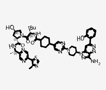 Cc1ncsc1-c1cnc([C@H](C)NC(=O)[C@@H]2C[C@@H](O)CN2C(=O)[C@@H](NC(=O)C2CCC(c3cnc(N4CCC(n5nc(N)c6nnc(-c7ccccc7O)cc65)CC4)nc3)CC2)C(C)(C)C)cn1